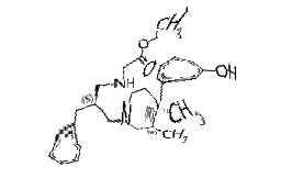 CCOC(=O)CNC[C@H](Cc1ccccc1)CN1CC[C@@](C)(c2cccc(O)c2)[C@@H](C)C1